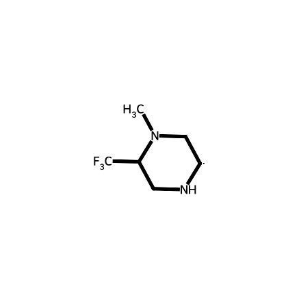 CN1C[CH]NCC1C(F)(F)F